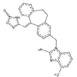 CCCc1nc2c(C)cccc2n1Cc1ccc2c(c1)CCc1ccccc1C2=Cc1noc(=O)[nH]1